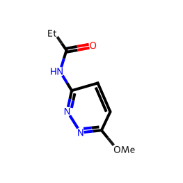 CCC(=O)Nc1ccc(OC)nn1